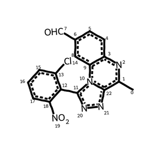 Cc1nc2ccc(C=O)cc2n2c(-c3c(Cl)cccc3[N+](=O)[O-])nnc12